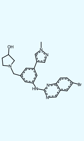 Cn1cc(-c2cc(CN3CCC(O)C3)cc(Nc3ncc4cc(Br)ccc4n3)c2)cn1